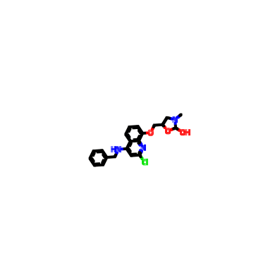 CN1CC(COc2cccc3c(NCc4ccccc4)cc(Cl)nc23)OC1O